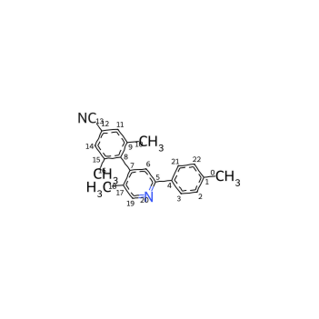 Cc1ccc(-c2cc(-c3c(C)cc(C#N)cc3C)c(C)cn2)cc1